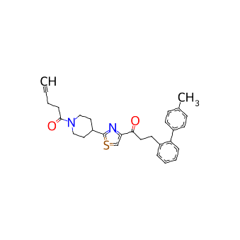 C#CCCC(=O)N1CCC(c2nc(C(=O)CCc3ccccc3-c3ccc(C)cc3)cs2)CC1